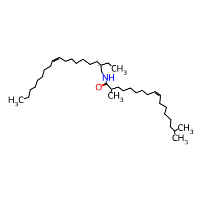 CCCCCCCC/C=C\CCCCCC[C](CC)CNC(=O)C(C)CCCCCC/C=C\CCCCCC(C)C